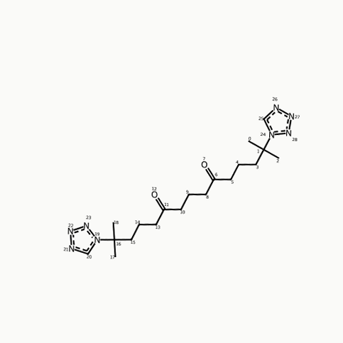 CC(C)(CCCC(=O)CCCC(=O)CCCC(C)(C)n1cnnn1)n1cnnn1